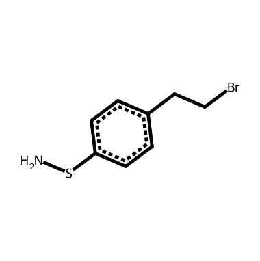 NSc1ccc(CCBr)cc1